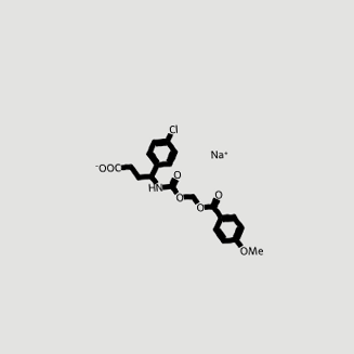 COc1ccc(C(=O)OCOC(=O)NC(CCC(=O)[O-])c2ccc(Cl)cc2)cc1.[Na+]